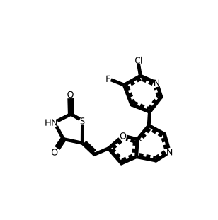 O=C1NC(=O)C(=Cc2cc3cncc(-c4cnc(Cl)c(F)c4)c3o2)S1